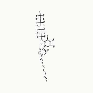 CCCCCCCCOc1ccc(C2(F)C(F)=C(F)C(F)=C(F)N2OC(F)(F)C(F)(F)C(F)(F)C(F)(F)C(F)(F)C(F)(F)C(F)(F)F)nn1